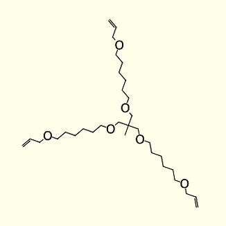 C=CCOCCCCCCOCC(C)(COCCCCCCOCC=C)COCCCCCCOCC=C